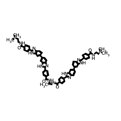 C[C@H](CNC(=O)c1ccc(-c2nc3ccc(-c4ccc5nc(-c6ccc(C(=O)NCCN(C)C)cc6)[nH]c5c4)cc3[nH]2)cc1)NC(=O)c1ccc(-c2nc3ccc(-c4ccc5nc(-c6ccc(C(=O)NCCN(C)C)cc6)[nH]c5c4)cc3[nH]2)cc1